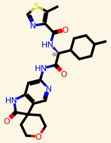 Cc1scnc1C(=O)N[C@H](C(=O)Nc1cc2c(cn1)C1(CCOCC1)C(=O)N2)C1CCC(C)CC1